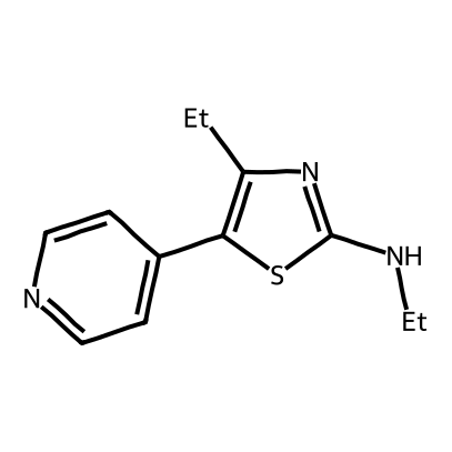 CCNc1nc(CC)c(-c2ccncc2)s1